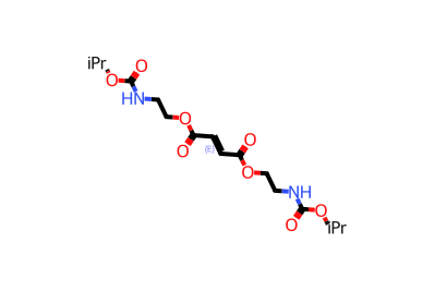 CC(C)OC(=O)NCCOC(=O)/C=C/C(=O)OCCNC(=O)OC(C)C